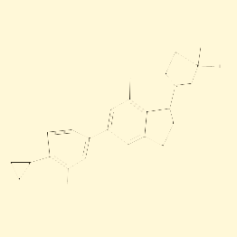 Cc1cc(-c2ccc(C3CC3)c(Cl)c2)cc2c1C(N1CCC(C)(O)C1)CC2